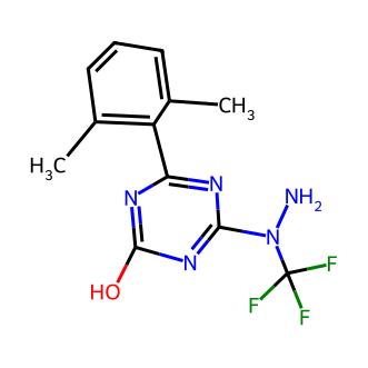 Cc1cccc(C)c1-c1nc(O)nc(N(N)C(F)(F)F)n1